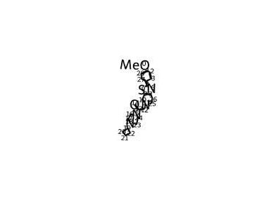 COc1ccc(-c2nc3c(s2)CN(CC(=O)N2CCN(C4CCC4)CC2)CC3)cc1